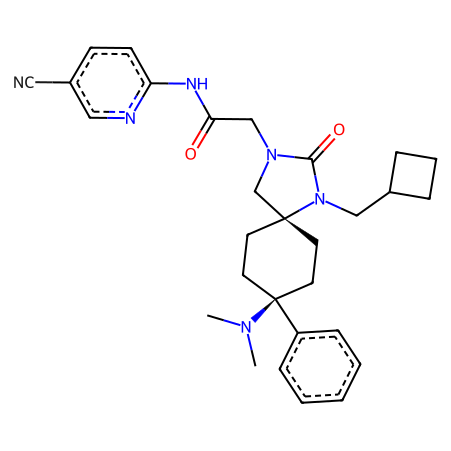 CN(C)[C@]1(c2ccccc2)CC[C@@]2(CC1)CN(CC(=O)Nc1ccc(C#N)cn1)C(=O)N2CC1CCC1